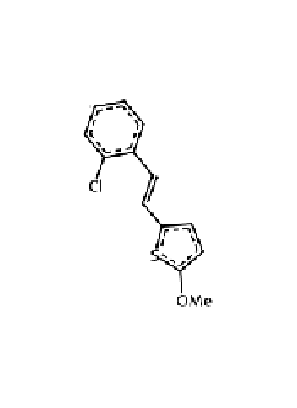 COc1ccc(C=Cc2cc[c]cc2Cl)s1